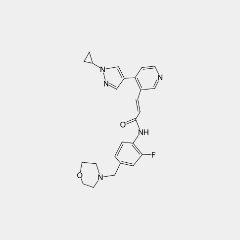 O=C(/C=C/c1cnccc1-c1cnn(C2CC2)c1)Nc1ccc(CN2CCOCC2)cc1F